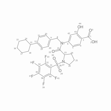 O=C(O)c1ccc(N(Cc2ccc(C3CCCCC3)cc2)C(=O)C2CCCN2S(=O)(=O)c2c(F)c(F)c(F)c(F)c2F)cc1O